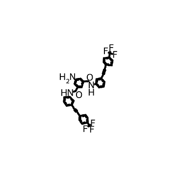 Nc1cc(C(=O)Nc2cccc(C#Cc3ccc(C(F)(F)F)cc3)c2)cc(C(=O)Nc2cccc(C#Cc3ccc(C(F)(F)F)cc3)c2)c1